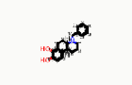 Oc1ccc2c(c1O)CC[C@@H]1[C@@H]2CCCN1Cc1ccccc1